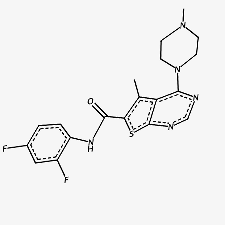 Cc1c(C(=O)Nc2ccc(F)cc2F)sc2ncnc(N3CCN(C)CC3)c12